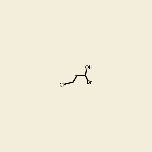 OC(Br)[CH]CCl